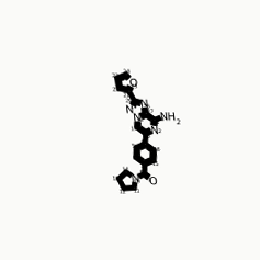 Nc1nc(-c2ccc(C(=O)N3CCCC3)cc2)cn2nc(-c3ccco3)nc12